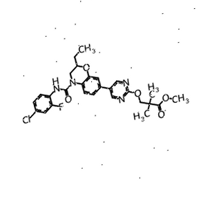 CCC1CN(C(=O)Nc2ccc(Cl)cc2F)c2ccc(-c3cnc(OCC(C)(C)C(=O)OC)nc3)cc2O1